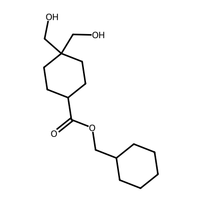 O=C(OCC1CCCCC1)C1CCC(CO)(CO)CC1